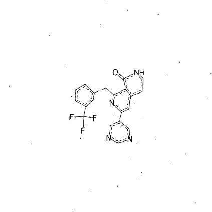 O=c1[nH]ccc2cc(-c3cncnc3)nc(Cc3cccc(C(F)(F)F)c3)c12